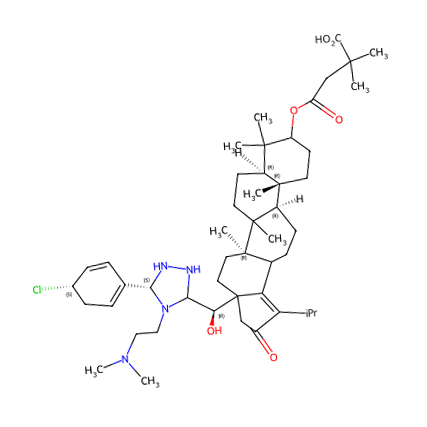 CC(C)C1=C2C3CC[C@H]4C(C)(CC[C@H]5C(C)(C)C(OC(=O)CC(C)(C)C(=O)O)CC[C@@]54C)[C@]3(C)CCC2([C@@H](O)C2NN[C@@H](C3=CC[C@H](Cl)C=C3)N2CCN(C)C)CC1=O